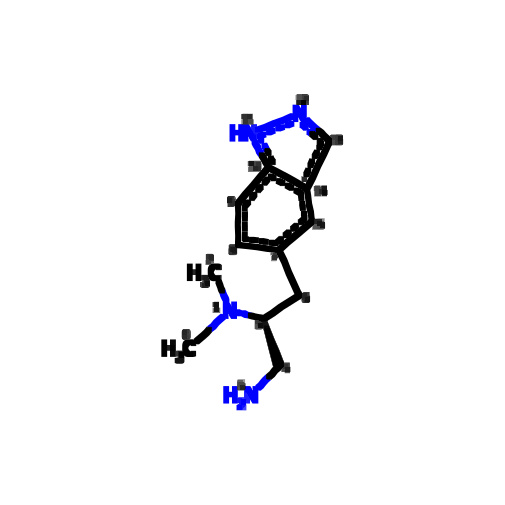 CN(C)[C@H](CN)Cc1ccc2[nH]ncc2c1